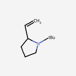 C=CC1CCCN1C(C)(C)C